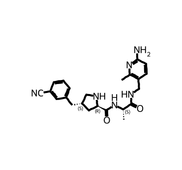 Cc1nc(N)ccc1CNC(=O)[C@H](C)NC(=O)[C@H]1C[C@H](Cc2cccc(C#N)c2)CN1